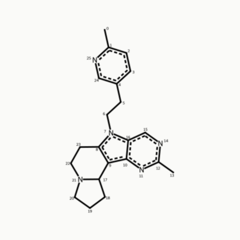 Cc1ccc(CCn2c3c(c4nc(C)ncc42)C2CCCN2CC3)cn1